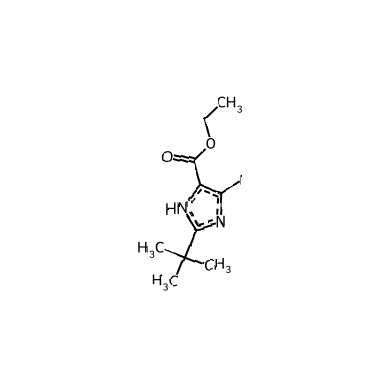 CCOC(=O)c1[nH]c(C(C)(C)C)nc1I